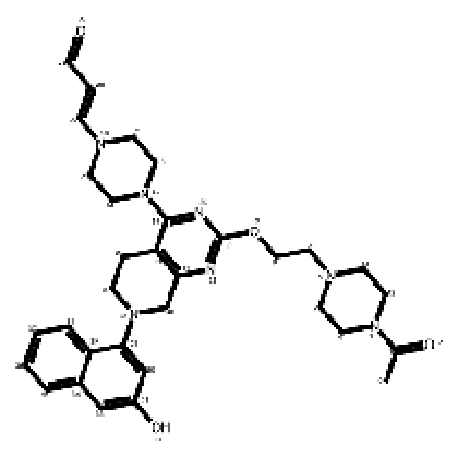 CC(=O)N1CCN(CCOc2nc3c(c(N4CCN(C=CC=O)CC4)n2)CCN(c2cc(O)cc4ccccc24)C3)CC1